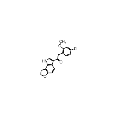 COc1cc(Cl)ccc1CC(=O)c1c[nH]c2c3c(ccc12)OCC3